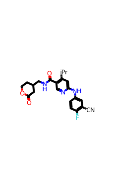 CC(C)c1cc(Nc2ccc(F)c(C#N)c2)ncc1C(=O)NCC1CCOC(=O)C1